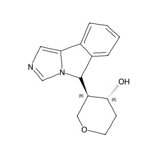 O[C@@H]1CCOC[C@H]1C1c2ccccc2-c2cncn21